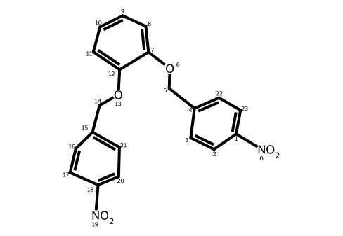 O=[N+]([O-])c1ccc(COc2ccccc2OCc2ccc([N+](=O)[O-])cc2)cc1